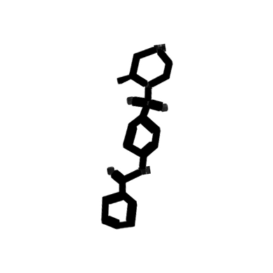 C[C@H]1CNCCN1S(=O)(=O)c1ccc(NC(=O)c2ccccc2)cc1